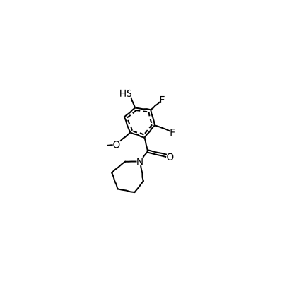 COc1cc(S)c(F)c(F)c1C(=O)N1CCCCC1